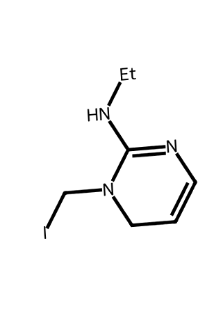 CCNC1=NC=CCN1CI